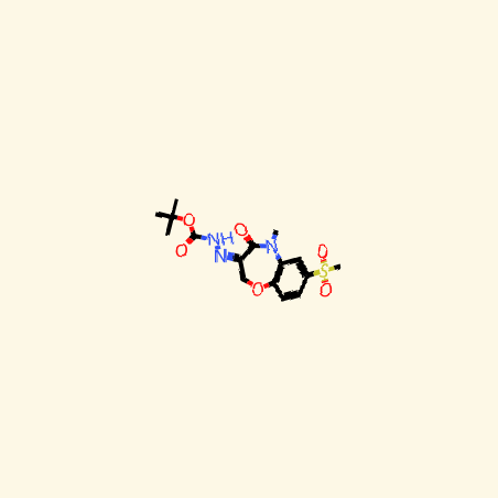 CN1C(=O)/C(=N\NC(=O)OC(C)(C)C)COc2ccc(S(C)(=O)=O)cc21